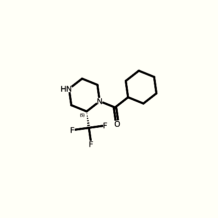 O=C(C1CCCCC1)N1CCNC[C@H]1C(F)(F)F